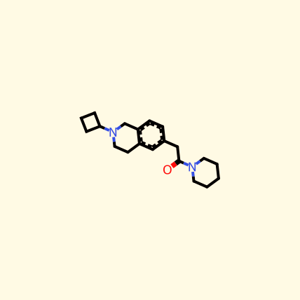 O=C(Cc1ccc2c(c1)CCN(C1CCC1)C2)N1CCCCC1